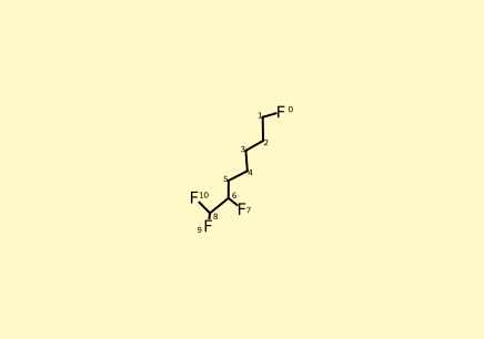 FCCCCCC(F)C(F)F